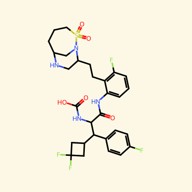 O=C(O)NC(C(=O)Nc1cccc(F)c1CCC1CNC2CCCS(=O)(=O)N1C2)C(c1ccc(F)cc1)C1CC(F)(F)C1